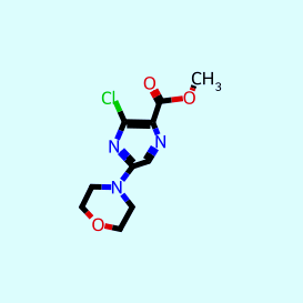 COC(=O)c1ncc(N2CCOCC2)nc1Cl